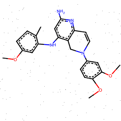 COc1ccc(C)c(Nc2cc(N)nc3c2CN(c2ccc(OC)c(OC)c2)C=C3)c1